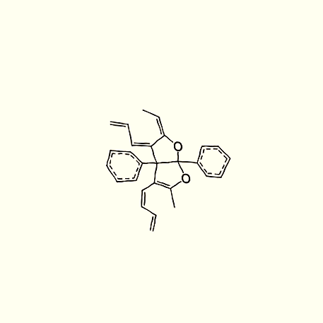 C=C/C=C\C1=C(C)OC2(c3ccccc3)OC(=C/C)/C(=C\C=C)C12c1ccccc1